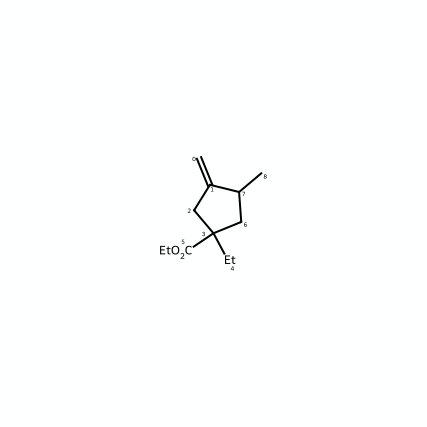 C=C1CC(CC)(C(=O)OCC)CC1C